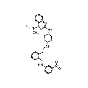 CN(C)c1nc(N[C@H]2CC[C@@H](NCCc3ccccc3CNc3cccc([N+](=O)[O-])c3)CC2)nc2ccccc12